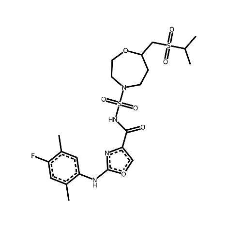 Cc1cc(Nc2nc(C(=O)NS(=O)(=O)N3CCOC(CS(=O)(=O)C(C)C)CC3)co2)c(C)cc1F